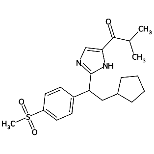 CC(C)C(=O)c1cnc(C(CC2CCCC2)c2ccc(S(C)(=O)=O)cc2)[nH]1